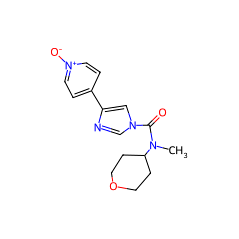 CN(C(=O)n1cnc(-c2cc[n+]([O-])cc2)c1)C1CCOCC1